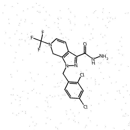 NNC(=O)c1nn(Cc2ccc(Cl)cc2Cl)c2c1C=CN(C(F)(F)F)C2